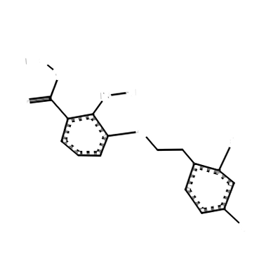 CNc1c(OCCc2ccc(Cl)cc2Cl)cccc1C(=O)OC